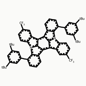 CC(C)(C)c1cc(-c2cccc3c4c5c6cc(C(F)(F)F)ccc6n6c7c(-c8cc(C(C)(C)C)cc(C(C)(C)C)c8)cccc7c(c7c8cc(C(F)(F)F)ccc8n(c23)c74)c56)cc(C(C)(C)C)c1